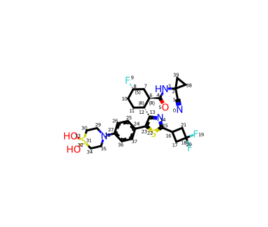 N#CC1(NC(=O)[C@@H]2C[C@@H](F)CC[C@H]2c2nc(C3CC(F)(F)C3)sc2-c2ccc(N3CCS(O)(O)CC3)cc2)CC1